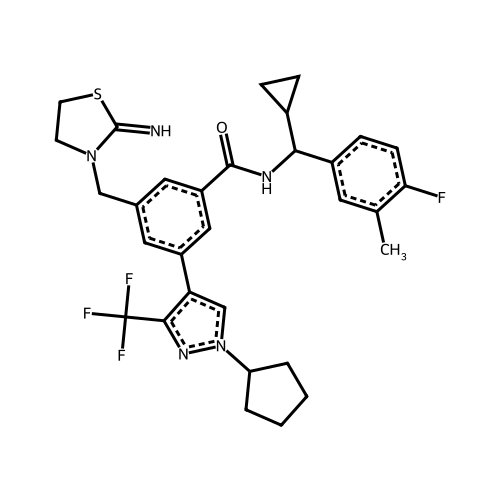 Cc1cc(C(NC(=O)c2cc(CN3CCSC3=N)cc(-c3cn(C4CCCC4)nc3C(F)(F)F)c2)C2CC2)ccc1F